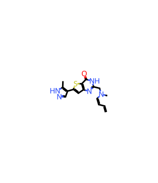 C=C/C=C\N(C)Cc1nc2cc(-c3cn[nH]c3C)sc2c(=O)[nH]1